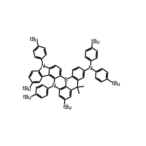 CC(C)(C)c1ccc(N(c2ccc(C(C)(C)C)cc2)c2ccc3c(c2)C(C)(C)c2cc(C(C)(C)C)cc4c2B3c2ccc3c(c2N4c2ccc(C(C)(C)C)cc2)c2cc(C(C)(C)C)ccc2n3-c2ccc(C(C)(C)C)cc2)cc1